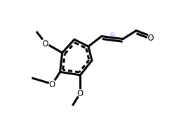 COc1cc(/C=C/C=O)cc(OC)c1OC